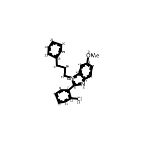 COc1ccc2nc(-c3ccccc3Cl)n(CCCc3ccccc3)c2c1